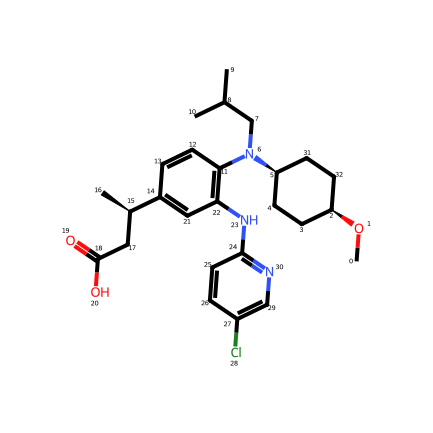 CO[C@H]1CC[C@@H](N(CC(C)C)c2ccc([C@H](C)CC(=O)O)cc2Nc2ccc(Cl)cn2)CC1